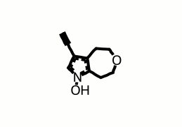 C#Cc1cn(O)c2c1CCOCC2